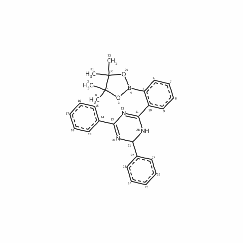 CC1(C)OB(c2ccccc2C2=NC(c3ccccc3)=NC(c3ccccc3)N2)OC1(C)C